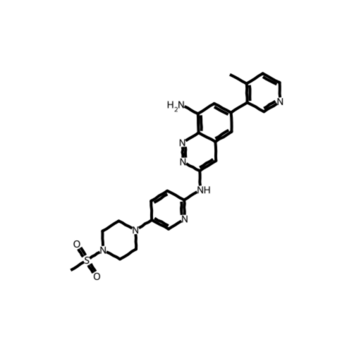 Cc1ccncc1-c1cc(N)c2nnc(Nc3ccc(N4CCN(S(C)(=O)=O)CC4)cn3)cc2c1